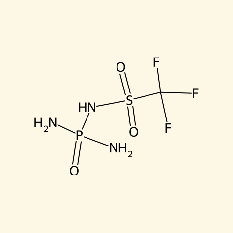 NP(N)(=O)NS(=O)(=O)C(F)(F)F